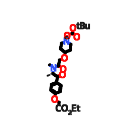 CCOC(=O)COc1ccc(C(=O)[C@H](C)N(C)C(=O)COC2CCN(OC(=O)OC(C)(C)C)CC2)cc1